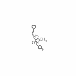 CN1CN(Cc2ccc(F)cc2)C(=O)C2=C1CCN(CC#Cc1ccccc1)C2